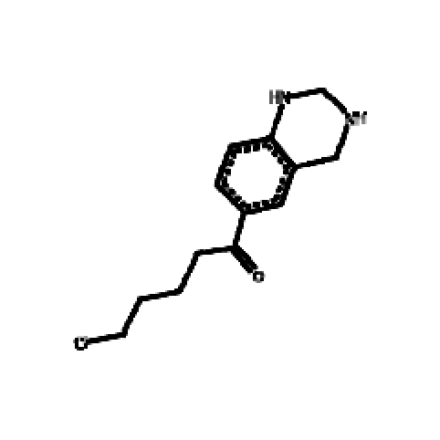 O=C(CCCCCl)c1ccc2c(c1)CNCN2